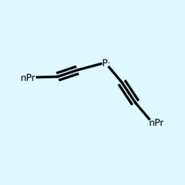 CCCC#C[P]C#CCCC